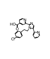 O=C(O)c1ccnc(-c2ncc(-c3ccccn3)n2CCc2ccc(Cl)cc2)c1